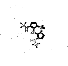 C=C=C1C=CC(N[Si](C)(C)C)=[C]1[Zr][C]1=C(N[Si](C)(C)C)C=CC1=C=C